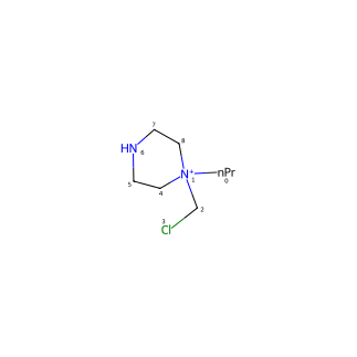 CCC[N+]1(CCl)CCNCC1